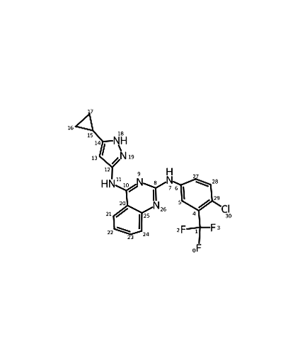 FC(F)(F)c1cc(Nc2nc(Nc3cc(C4CC4)[nH]n3)c3ccccc3n2)ccc1Cl